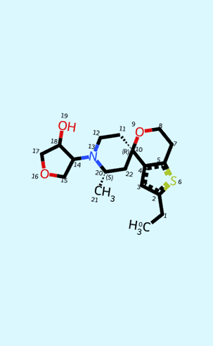 CCc1cc2c(s1)CCO[C@@]21CCN(C2COCC2O)[C@@H](C)C1